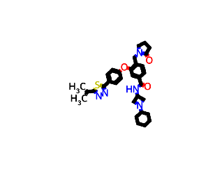 CC(C)c1nnc(-c2ccc(Oc3cc(C(=O)NC4CN(C5CCCCC5)C4)ccc3CN3CCCC3=O)cc2)s1